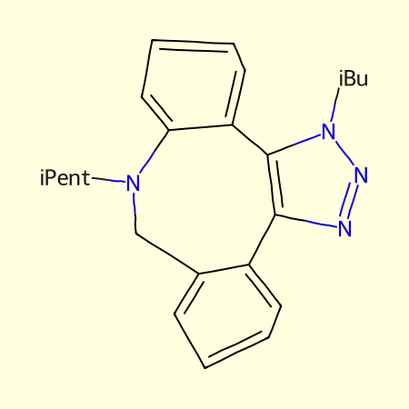 CCCC(C)N1Cc2ccccc2-c2nnn(C(C)CC)c2-c2ccccc21